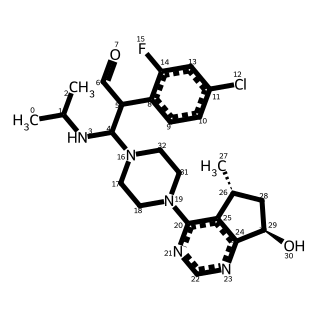 CC(C)NC(C(C=O)c1ccc(Cl)cc1F)N1CCN(c2ncnc3c2[C@H](C)C[C@H]3O)CC1